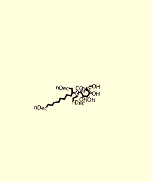 CCCCCCCCCCCCCCCCCCC(CCCCCCCCCCC)[N+](CCCCCCCCCCCC)(C(=O)OCC)C1O[C@H](CO)[C@@H](O)[C@H](O)[C@H]1O